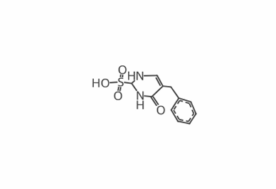 O=C1NC(S(=O)(=O)O)NC=C1Cc1ccccc1